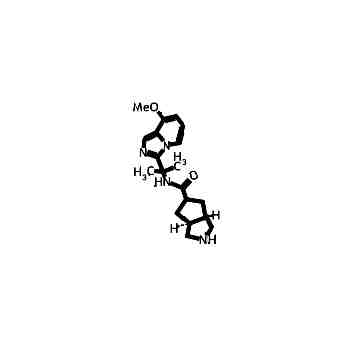 COc1cccn2c(C(C)(C)NC(=O)C3C[C@H]4CNC[C@H]4C3)ncc12